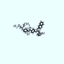 CCCN(CCC)Cc1ccc(NC(=O)c2ccc(CN(Cc3cc4ccccc4cn3)Cc3ncc[nH]3)cc2)cc1